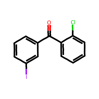 O=C(c1cccc(I)c1)c1ccccc1Cl